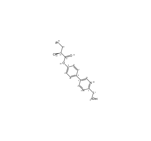 CCCCCCCCCCSc1ncc(-c2ccc(OC(=O)[C@@H](Cl)CC(C)C)cc2)cn1